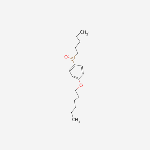 [CH2]CCCC[S+]([O-])c1ccc(OCCCCCC)cc1